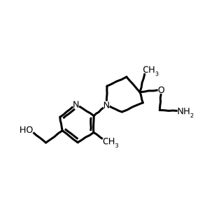 Cc1cc(CO)cnc1N1CCC(C)(OCN)CC1